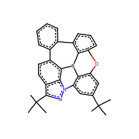 CC(C)(C)c1cc2c3c(c1)-n1nc(C(C)(C)C)c4ccc5c(c41)B3c1c(cccc1-c1ccccc1-5)O2